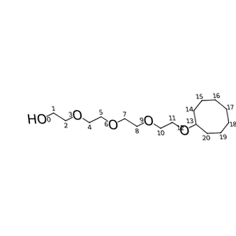 OCCOCCOCCOCCOC1CCCCCCC1